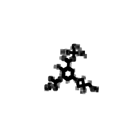 CC(C)(C)OC(=O)c1cc(N2CC(F)(CO)C2)ccc1F.O=C([O-])[O-].[Cs+].[Cs+]